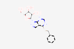 OC[C@H]1O[C@@H](n2ncc3c(SCc4ccccc4)ncnc32)[C@H](O)[C@@H]1O